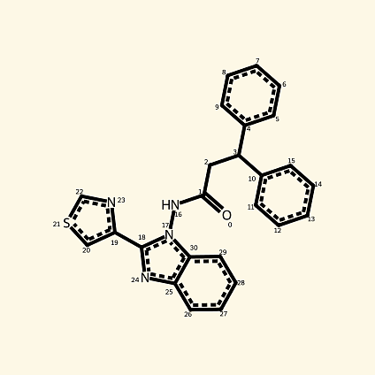 O=C(CC(c1ccccc1)c1ccccc1)Nn1c(-c2cscn2)nc2ccccc21